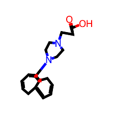 O=C(O)CCN1CCN(C2=CC3=CC=CCC4=CC=CCC34C=C2)CC1